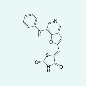 O=C1NC(=O)C(=Cc2cc3cncc(Nc4ccccc4)c3o2)S1